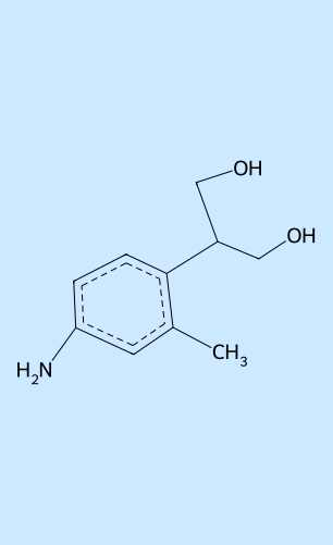 Cc1cc(N)ccc1C(CO)CO